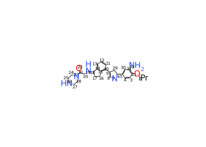 CC(C)Oc1ccc(C2=NC=C(c3cccc4c3CC[C@@H]4NCC(=O)N3CCNCC3)C2)cc1N